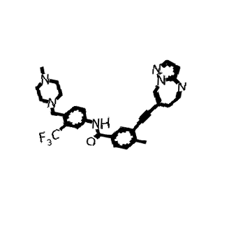 Cc1ccc(C(=O)Nc2ccc(CN3CCN(C)CC3)c(C(F)(F)F)c2)cc1C#CC1=Cn2nccc2N=CC1